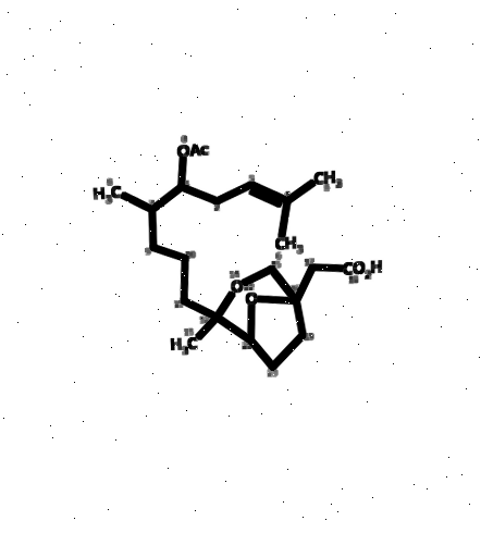 CC(=O)OC(CC=C(C)C)C(C)CCCC1(C)OCC2(CC(=O)O)CCC1O2